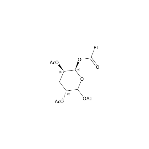 CCC(=O)O[C@H]1OC(OC(C)=O)[C@H](OC(C)=O)C[C@H]1OC(C)=O